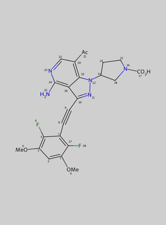 COc1cc(OC)c(F)c(C#Cc2nn(C3CCN(C(=O)O)C3)c3c(C(C)=O)cnc(N)c23)c1F